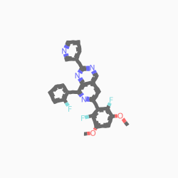 COc1cc(OC)c(F)c(-c2cc3cnc(-c4cccnc4)nc3c(-c3ccccc3F)n2)c1F